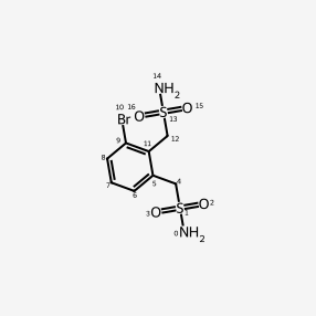 NS(=O)(=O)Cc1cccc(Br)c1CS(N)(=O)=O